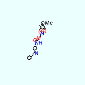 COc1cc(C)c(S(=O)(=O)N(C)CCOCC(=O)NCC2CCC(C(CCc3ccccc3)N(C)C)CC2)c(C)c1C